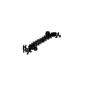 C=CCOC(=O)CCCCCCCCCCCCCCCCC.CCCCCCCCCCCCCCCCCC(N)=O